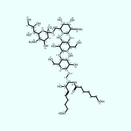 CCCCCCCCCCCCC/C=C/[C@@H](O)[C@H](CO[C@@H]1OC(CO)[C@@H](O[C@@H]2OC(CO)[C@H](O[C@@H]3OC(CO[C@]4(C(=O)O)CC(O)[C@@H](NC(C)=O)C([C@H](O)[C@H](O)CO)O4)[C@H](O)[C@H](O)C3NC(C)=O)[C@H](O)C2O)[C@H](O)C1O)NC(=O)CCCCCCCCCCCCCCC